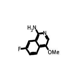 COc1cnc(N)c2cc(F)ccc12